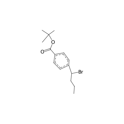 CCCC(Br)c1ccc(C(=O)OC(C)(C)C)cc1